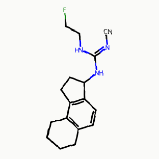 N#C/N=C(\NCCF)NC1CCc2c1ccc1c2CCCC1